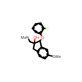 CNCC1(O)Cc2ccc(OC)cc2C1Oc1ccccc1F